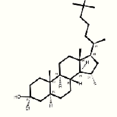 CC[C@]1(O)CC[C@@]2(C)[C@@H](CC[C@H]3[C@@H]4[C@@H](C)C[C@H]([C@H](C)CCCC(C)(C)O)[C@@]4(C)CC[C@@H]32)C1